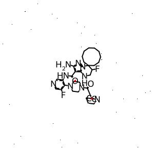 Nc1nn2c(c1C(=O)Nc1cncc(F)c1N1CCN(C(=O)C3CN4CCC3CC4)CC1)NCC(F)C21CCCCCCCCC1